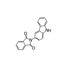 O=C1c2ccccc2C(=O)N1c1ccc2[nH]c3ccccc3c2c1